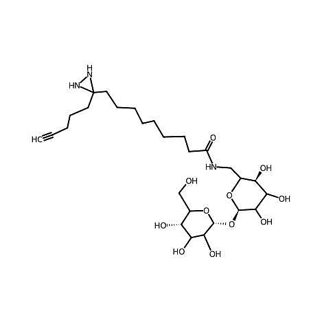 C#CCCCC1(CCCCCCCCC(=O)NCC2O[C@H](O[C@H]3OC(CO)[C@@H](O)C(O)C3O)C(O)C(O)[C@@H]2O)NN1